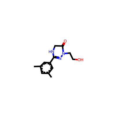 Cc1cc(C)cc(C2=NN(CCO)C(=O)CN2)c1